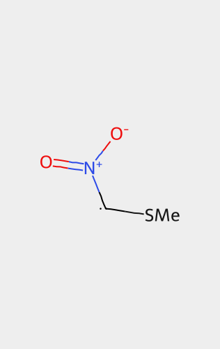 CS[CH][N+](=O)[O-]